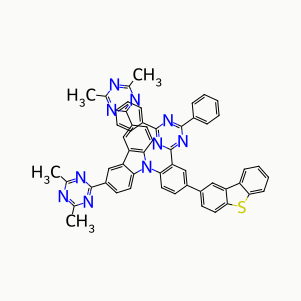 Cc1nc(C)nc(-c2ccc3c(c2)c2cc(-c4nc(C)nc(C)n4)ccc2n3-c2ccc(-c3ccc4sc5ccccc5c4c3)cc2-c2nc(-c3ccccc3)nc(-c3ccccc3)n2)n1